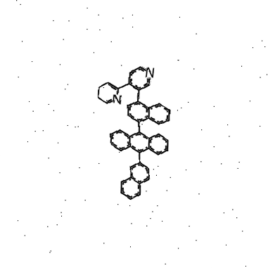 C1=NC(c2ccncc2-c2ccc(-c3c4ccccc4c(-c4ccc5ccccc5c4)c4ccccc34)c3ccccc23)=CCC1